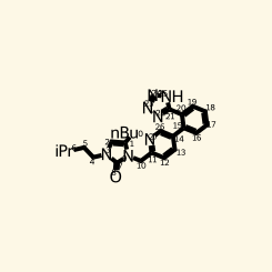 CCCCc1cn(CCC(C)C)c(=O)n1Cc1ccc(-c2ccccc2-c2nnn[nH]2)cn1